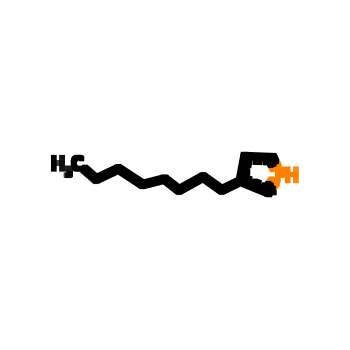 CCCCCCCCc1[c][pH]cc1